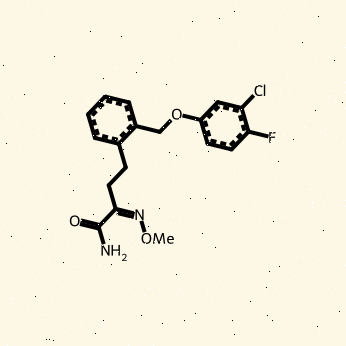 CON=C(CCc1ccccc1COc1ccc(F)c(Cl)c1)C(N)=O